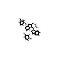 CC1=Cc2ccccc2[CH]1[Zr+2]([CH]1C(C)=Cc2ccccc21)[SiH](C)C.Cc1cccc(C)c1[O-].Cc1cccc(C)c1[O-]